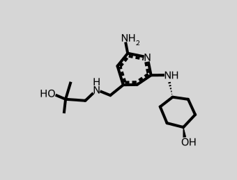 CC(C)(O)CNCc1cc(N)nc(N[C@H]2CC[C@H](O)CC2)c1